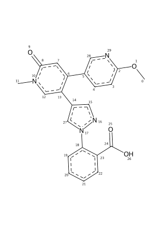 COc1ccc(-c2cc(=O)n(C)cc2-c2cnn(-c3ccccc3C(=O)O)c2)cn1